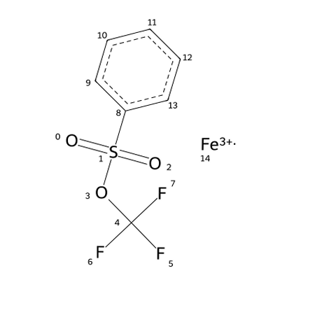 O=S(=O)(OC(F)(F)F)c1ccccc1.[Fe+3]